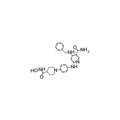 NC(=O)c1cnc(Nc2ccc(N3CCC(C(=O)NO)CC3)cc2)cc1NCc1ccccc1